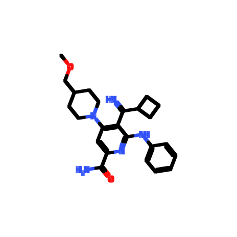 COCC1CCN(c2cc(C(N)=O)nc(Nc3ccccc3)c2C(=N)C2CCC2)CC1